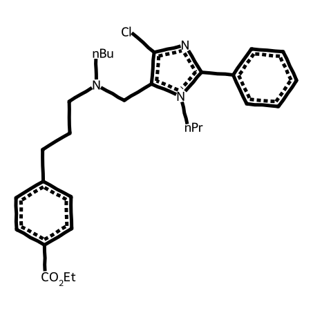 CCCCN(CCCc1ccc(C(=O)OCC)cc1)Cc1c(Cl)nc(-c2ccccc2)n1CCC